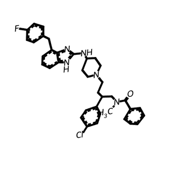 CN(CC(CCN1CCC(Nc2nc3c(Cc4ccc(F)cc4)cccc3[nH]2)CC1)c1ccc(Cl)cc1)C(=O)c1ccccc1